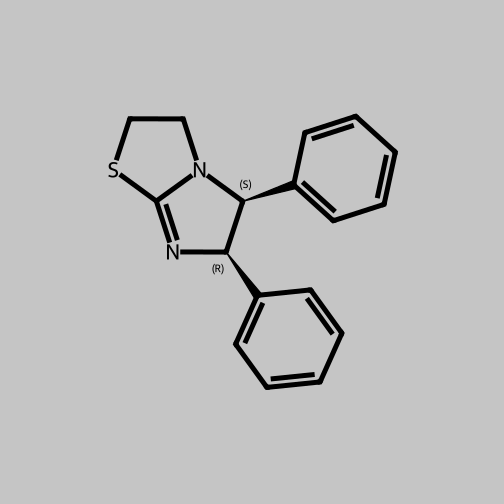 c1ccc([C@H]2N=C3SCCN3[C@H]2c2ccccc2)cc1